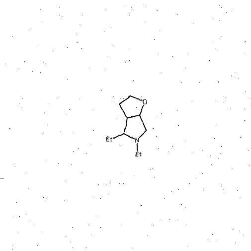 CCC1C2CCOC2CN1CC